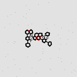 Fc1c(-c2ccccc2)ccc(-c2ccccc2)c1N(c1ccccc1)c1ccc2ccc3c(N(c4ccccc4)c4c(-c5ccccc5)ccc(-c5ccccc5)c4F)ccc4ccc1c2c43